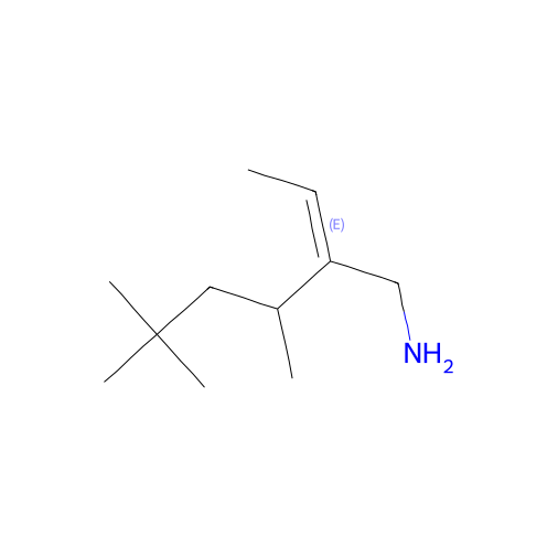 C/C=C(/CN)C(C)CC(C)(C)C